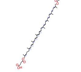 CC(/C=C/C=C(C)/C=C/C=C(C)/C=C/C=C(\C)COC(=O)CCC(=O)O)=C\C=C\C=C(C)\C=C\C=C(C)\C=C\C=C(/C)CC/C=C(\C)COC(=O)CCC(=O)O